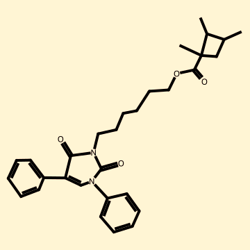 CC1CC(C)(C(=O)OCCCCCCn2c(=O)c(-c3ccccc3)cn(-c3ccccc3)c2=O)C1C